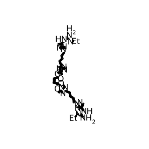 CCN=C(N)Nc1cnn(CCCCC2=NC(C)(OC(=O)/C=C\C(=O)OC3(C)N=NC(CCCCn4ncc(NC(N)=NCC)n4)=N3)N=N2)n1